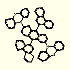 C1=Cc2c(cc(-c3c4cc(N5c6ccccc6Sc6ccccc65)ccc4c(-c4cc5ccccc5c5ccccc45)c4cc(N5c6ccccc6Sc6ccccc65)ccc34)c3ccccc23)CC1